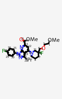 COCCOCC1(F)CCCN(c2cc(C(=O)OC)nc3c2c(C(C)C)nn3-c2ccc(F)cc2)C1